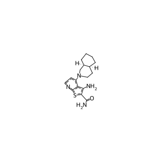 NC(=O)c1sc2nccc(N3CC[C@@H]4CCCC[C@@H]4C3)c2c1N